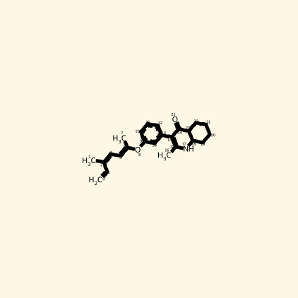 C=C/C(C)=C\C=C(/C)Oc1cccc(C2=C(C)NC3CCCCC3C2=O)c1